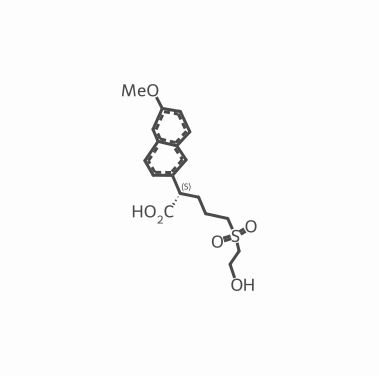 COc1ccc2cc([C@H](CCCS(=O)(=O)CCO)C(=O)O)ccc2c1